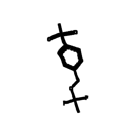 CC(F)(F)OCc1ccc(S(C)(=O)=O)cc1